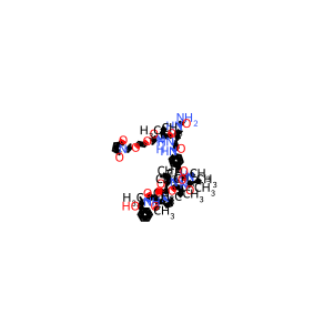 CC[C@H](C)[C@@H]([C@@H](CC(=O)N1CCC[C@H]1[C@H](OC)[C@@H](C)C(=O)N[C@H](C)[C@@H](O)c1ccccc1)OC)N(C)C(=O)[C@@H](NC(=O)[C@H](C(C)C)N(C)C(=O)OCc1ccc(NC(=O)[C@H](CCCNC(N)=O)NC(=O)[C@@H](NC(=O)COCCOCCN2C(=O)C=CC2=O)C(C)C)cc1)C(C)C